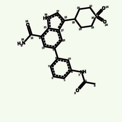 CC(=O)Nc1cccc(-c2cc(C(N)=O)c3[nH]cc(C4CCS(=O)(=O)CC4)c3c2)c1